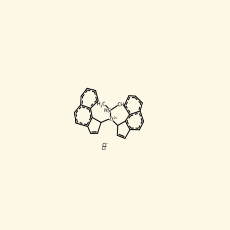 C[SiH](C)[Zr+2]([CH]1C=Cc2ccc3ccccc3c21)[CH]1C=Cc2ccc3ccccc3c21.[Cl-].[Cl-]